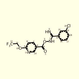 N=C(NOC(=O)c1ccc(OCC(F)(F)F)nc1)c1cccc(Cl)c1